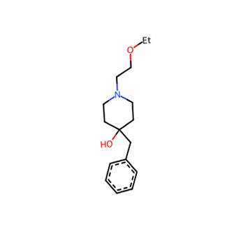 CCOCCN1CCC(O)(Cc2ccccc2)CC1